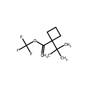 CC(C)(C)C1(C(=O)OC(F)(F)F)CCC1